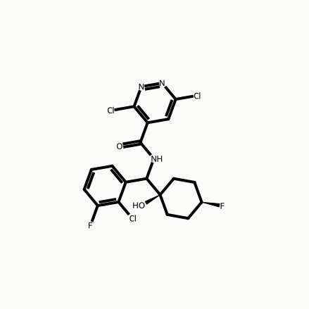 O=C(NC(c1cccc(F)c1Cl)[C@]1(O)CC[C@@H](F)CC1)c1cc(Cl)nnc1Cl